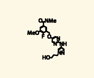 CNC(=O)c1cc(COc2cnc(Nc3cnn(CCCO)c3)nc2)c(F)c(OC)c1